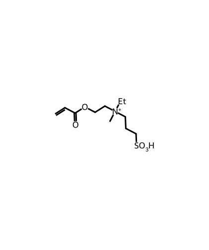 C=CC(=O)OCC[N+](C)(CC)CCCS(=O)(=O)O